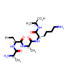 CC(C)C[C@H](NC(=O)[C@H](C)N)C(=O)N[C@@H](C)C(=O)N[C@@H](CCCCN)C(=O)N[C@@H](C)C(=O)O